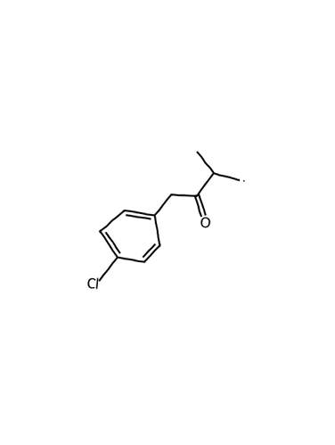 [CH2]C(C)C(=O)Cc1ccc(Cl)cc1